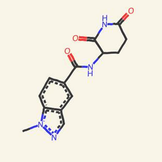 Cn1ncc2cc(C(=O)NC3CCC(=O)NC3=O)ccc21